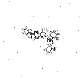 Nc1nc(-c2nn(Cc3ccccc3F)c3c(F)cccc23)nc(N)c1/N=N/c1ccccc1